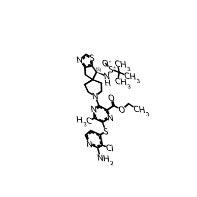 CCOC(=O)c1nc(Sc2ccnc(N)c2Cl)c(C)nc1N1CCC2(CC1)Cc1ncsc1[C@H]2N[S+]([O-])C(C)(C)C